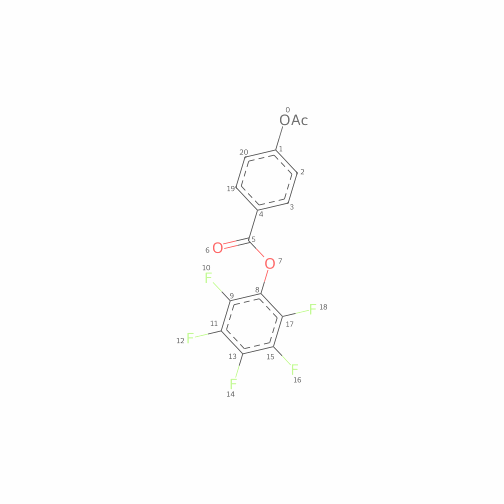 CC(=O)Oc1ccc(C(=O)Oc2c(F)c(F)c(F)c(F)c2F)cc1